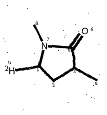 [2H]C1CC(C)C(=O)N1C